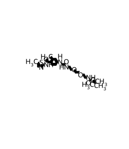 Cc1cnc(NC(=O)c2ccc(NCC(=O)NCCOCCOCCNC(=O)OC(C)(C)C)cc2C)s1